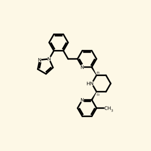 Cc1cccnc1[C@@H]1CCC[C@H](c2cccc(Cc3ccccc3-n3cccn3)n2)N1